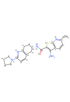 Cc1ccc2c(N)c(C(=O)N[C@H]3CCc4nc(N5CCCC5)ccc4C3)sc2n1